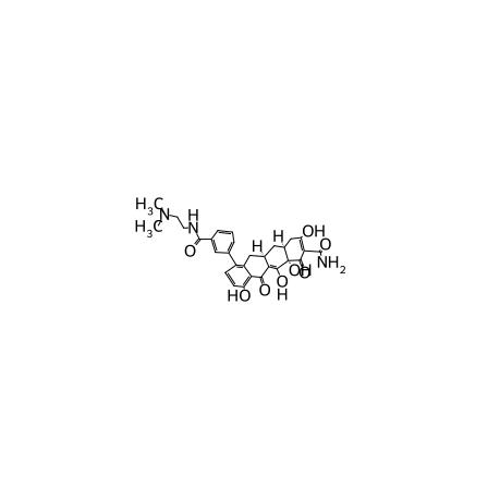 CN(C)CCNC(=O)c1cccc(-c2ccc(O)c3c2C[C@H]2C[C@H]4CC(O)=C(C(N)=O)C(=O)[C@@]4(O)C(O)=C2C3=O)c1